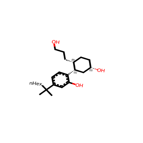 CCCCCCC(C)(C)c1ccc([C@H]2C[C@@H](O)CC[C@H]2CCCO)c(O)c1